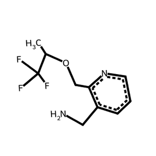 CC(OCc1ncccc1CN)C(F)(F)F